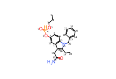 CCCO[PH](=O)Oc1ccc2c(c1)c(CC(N)=O)c(CC)n2Cc1ccccc1